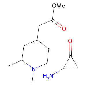 COC(=O)CC1CCN(C)C(C)C1.NC1CC1=O